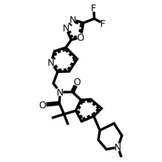 CN1CCC(c2ccc3c(c2)C(C)(C)C(=O)N(Cc2ccc(-c4nnc(C(F)F)o4)cn2)C3=O)CC1